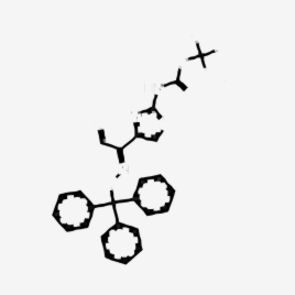 CC(C)(C)OC(=O)Nc1nc(C([C]=O)=NOC(c2ccccc2)(c2ccccc2)c2ccccc2)cs1